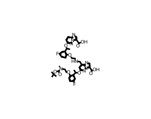 CC(Oc1ccc2ncc(C(=O)O)n2n1)c1cc(F)ccc1OCCNCc1cc(OC(C)c2cc(F)ccc2OCCN(C)C(=O)OC(C)(C)C)nn2c(C(=O)O)cnc12